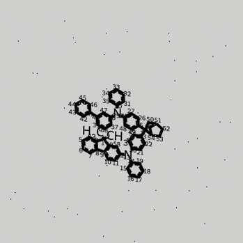 CC1(C)c2ccccc2-c2ccc(N(c3ccccc3)c3ccc(C4(c5ccc(N(c6ccccc6)c6cccc(-c7ccccc7)c6)cc5)CC5CCC4C5)cc3)cc21